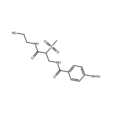 CC(=O)Nc1ccc(C(=O)NCC(C(=O)NCCC#N)S(C)(=O)=O)cc1